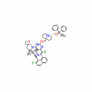 CC(C)[Si](C#Cc1c(F)ccc2cccc(-c3ncc4c(N5CCCC6(CCO6)C5)nc(OC[C@@]56CCCN5[C@H](CO[Si](c5ccccc5)(c5ccccc5)C(C)(C)C)CC6)nc4c3F)c12)(C(C)C)C(C)C